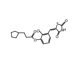 O=C(CCC1CCCC1)Oc1cccc(C=C2SC(=O)NC2=O)c1Cl